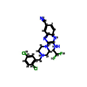 N#Cc1ccc2nc(NCC(F)F)c(N3CCN(Cc4cc(Cl)ccc4Cl)CC3)nc2c1